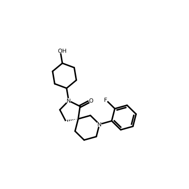 O=C1N(C2CCC(O)CC2)CC[C@]12CCCN(c1ccccc1F)C2